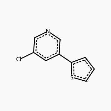 Clc1cncc(-c2cc[c]s2)c1